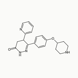 O=C1CC(c2ccccn2)C(c2ccc(OC3CCNCC3)cc2)=NN1